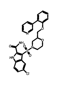 NC(=O)c1[nH]c2ccc(Cl)cc2c1S(=O)(=O)N1CCOC(COc2ccccc2-c2cccnc2)C1